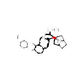 CC[C@H]1CC[C@@H](Oc2ccc3cc(CN4C5CCC4CC(C(=O)O)C5)ncc3c2Cl)CC1